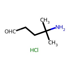 CC(C)(N)CCC=O.Cl